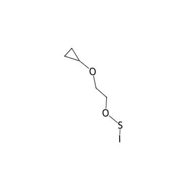 ISOCCOC1CC1